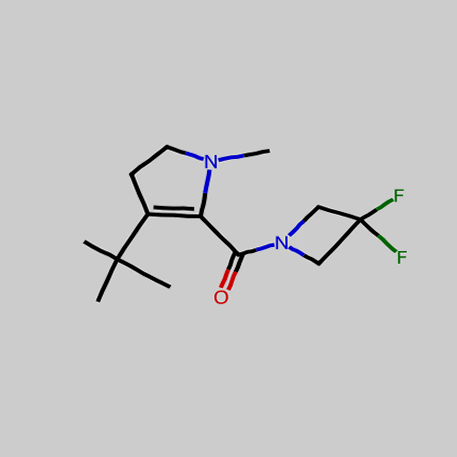 CN1CCC(C(C)(C)C)=C1C(=O)N1CC(F)(F)C1